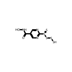 O=C(NO)c1cnc(S(=S)SSS)nc1